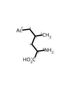 CC(=O)CC(C)CC(N)C(=O)O